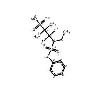 CCC(C(F)(F)C(C)(C)S(=O)(=O)O)S(=O)(=O)Oc1ccccc1